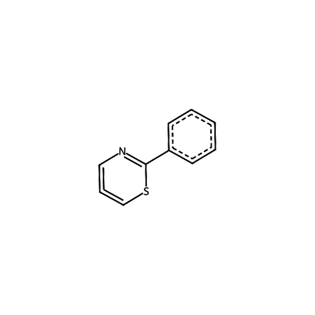 C1=CN=C(c2ccccc2)SC=1